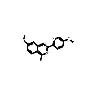 COc1ccc(-c2cc3cc(OC)ccc3c(C)n2)nc1